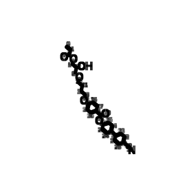 C=CC(=O)OCC(O)COCCCCOc1ccc(C(=O)Oc2ccc(-c3ccc(C#N)cc3)cc2)cc1